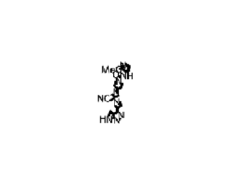 COc1ncccc1NC(=O)N1CCC(N2CC(CC#N)(n3ccc(-c4ncnc5[nH]ccc45)c3)C2)CC1